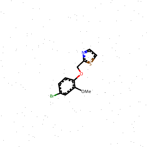 COc1cc(Br)ccc1OCc1nccs1